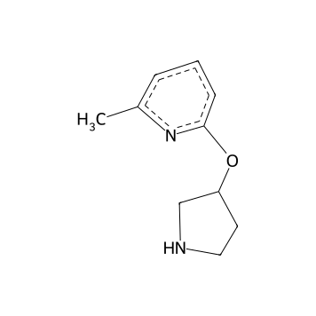 Cc1cccc(OC2CCNC2)n1